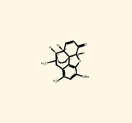 COc1cc(N)c2c3c1O[C@H]1C(=O)C=C[C@H]4[C@@H](C2)N(C)CC[C@]314